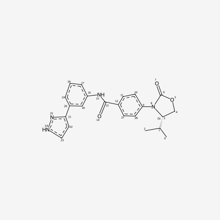 CC(C)[C@H]1COC(=O)N1c1ccc(C(=O)Nc2cccc(-c3cc[nH]n3)c2)cc1